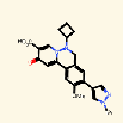 COc1cc2c(cc1-c1cnn(C(C)C)c1)CN(C1CCC1)n1cc(C(=O)O)c(=O)cc1-2